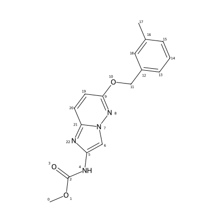 COC(=O)Nc1cn2nc(OCc3cccc(C)c3)ccc2n1